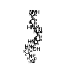 OC(NC1CCCC(N2CCOCC2)C1)c1cc2ccc(-c3nccc(Nc4ccc(-c5cn[nH]c5)cc4)n3)cc2[nH]1